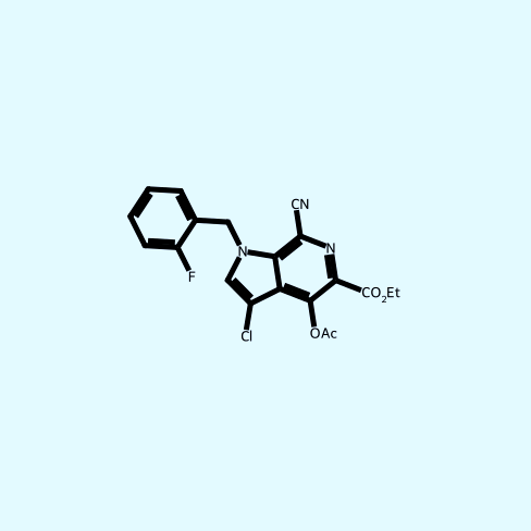 CCOC(=O)c1nc(C#N)c2c(c(Cl)cn2Cc2ccccc2F)c1OC(C)=O